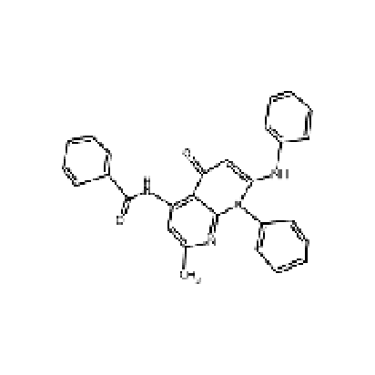 Cc1cc(NC(=O)c2ccccc2)c2c(=O)cc(Nc3ccccc3)n(-c3ccccc3)c2n1